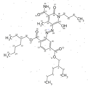 CCCCC(CC)COC(=O)c1ccc(C(=O)OCC(CC)CCCC)c(/N=N/c2c(C)c(C(N)=O)c(=O)n(CCCC)c2O)c1